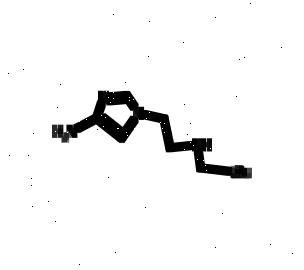 CC(C)(C)CNCCn1cnc(N)c1